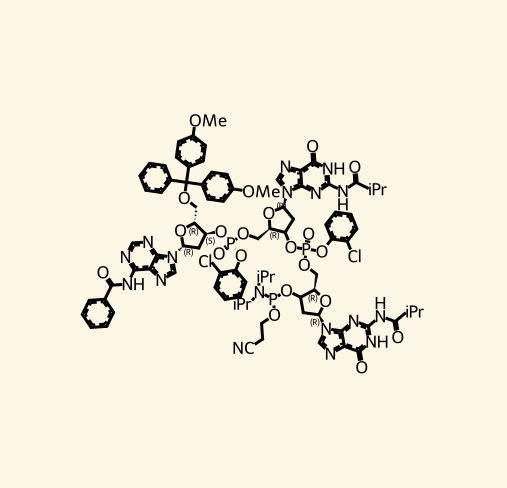 COc1ccc(C(OC[C@H]2O[C@@H](n3cnc4c(NC(=O)c5ccccc5)ncnc43)C[C@@H]2OP(=O)(OC[C@H]2O[C@@H](n3cnc4c(=O)[nH]c(NC(=O)C(C)C)nc43)CC2OP(=O)(OC[C@H]2O[C@@H](n3cnc4c(=O)[nH]c(NC(=O)C(C)C)nc43)CC2OP(OCCC#N)N(C(C)C)C(C)C)Oc2ccccc2Cl)Oc2ccccc2Cl)(c2ccccc2)c2ccc(OC)cc2)cc1